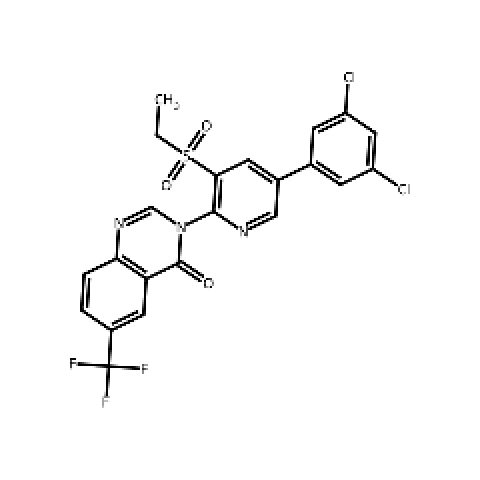 CCS(=O)(=O)c1cc(-c2cc(Cl)cc(Cl)c2)cnc1-n1cnc2ccc(C(F)(F)F)cc2c1=O